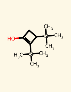 C[Si](C)(C)C1=C(O)CC1[Si](C)(C)C